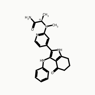 C[C@H](C(N)=O)N(C)c1cc(-c2[nH]c3c(c2Nc2ccccc2)C(=O)CCC3)ccn1